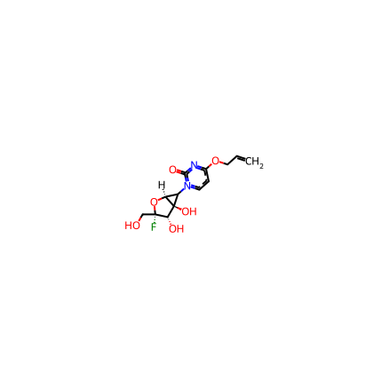 C=CCOc1ccn(C2[C@@H]3O[C@](F)(CO)[C@@H](O)[C@@]23O)c(=O)n1